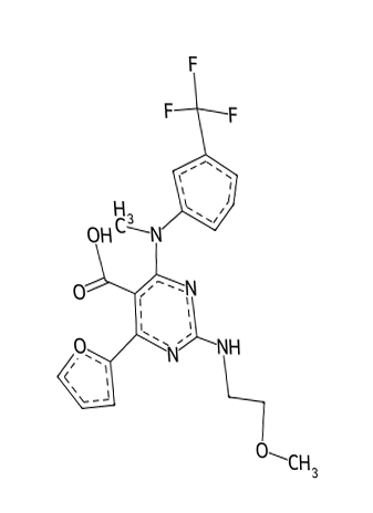 COCCNc1nc(-c2ccco2)c(C(=O)O)c(N(C)c2cccc(C(F)(F)F)c2)n1